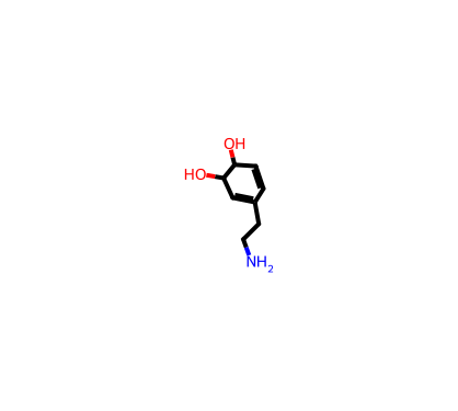 NCCC1=CC(O)C(O)C=C1